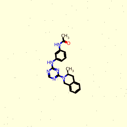 CC(=O)Nc1cccc(Nc2ncnc(N3Cc4ccccc4C[C@@H]3C)n2)c1